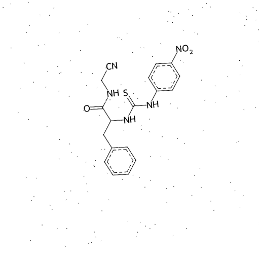 N#CCNC(=O)C(Cc1ccccc1)NC(=S)Nc1ccc([N+](=O)[O-])cc1